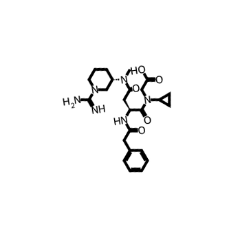 CN(C(=O)C[C@H](NC(=O)Cc1ccccc1)C(=O)N(CC(=O)O)C1CC1)[C@H]1CCCN(C(=N)N)C1